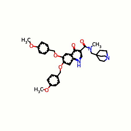 COc1ccc(COc2cc3[nH]cc(C(=O)N(C)CC45CCN(CC4)CC5)c(=O)c3cc2OCc2ccc(OC)cc2)cc1